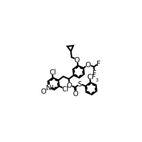 O=C(OC(Cc1c(Cl)c[n+]([O-])cc1Cl)c1ccc(OC(F)F)c(OCC2CC2)c1)Sc1ccccc1C(F)(F)F